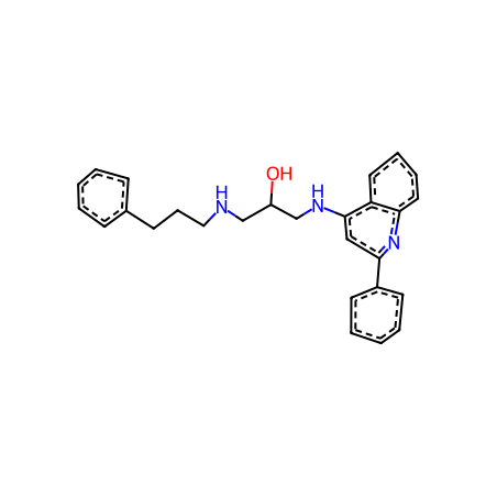 OC(CNCCCc1ccccc1)CNc1cc(-c2ccccc2)nc2ccccc12